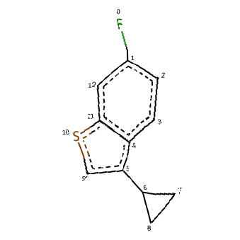 Fc1ccc2c(C3CC3)[c]sc2c1